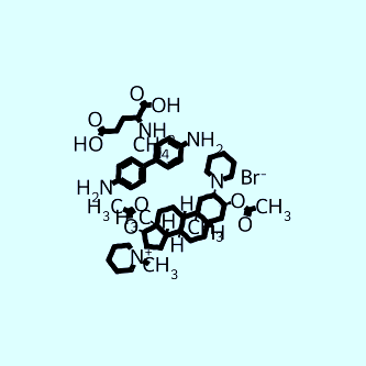 C.CC(=O)O[C@H]1C[C@@H]2CC[C@@H]3[C@H](CC[C@@]4(C)[C@H]3C[C@H]([N+]3(C)CCCCC3)[C@@H]4OC(C)=O)[C@@]2(C)C[C@@H]1N1CCCCC1.NC(CCC(=O)O)C(=O)O.Nc1ccc(-c2ccc(N)cc2)cc1.[Br-]